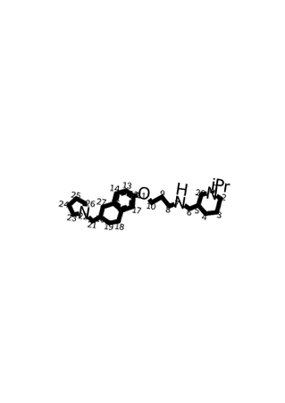 CC(C)N1CCCC(CNCCCOc2ccc3c(c2)CCC(CN2CCCC2)C3)C1